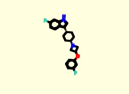 Fc1cccc(OC2CN([C@H]3CC[C@@H](c4c[nH]c5cc(F)ccc54)CC3)C2)c1